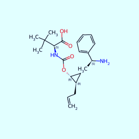 C=CC[C@@H]1C[C@H]1OC(=O)N[C@H](C(=O)O)C(C)(C)C.C[C@H](N)c1ccccc1